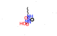 CCCCCCNC(=O)n1c(N(C)C(=O)O)nc2ccccc21